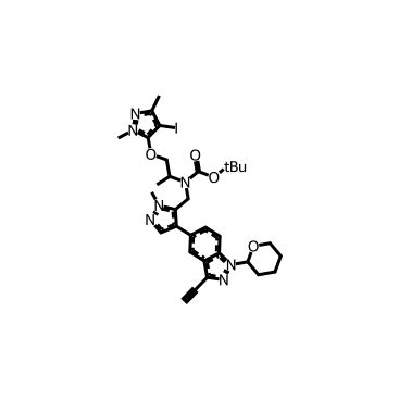 C#Cc1nn(C2CCCCO2)c2ccc(-c3cnn(C)c3CN(C(=O)OC(C)(C)C)C(C)COc3c(I)c(C)nn3C)cc12